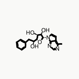 Cc1ncnc2c1ccn2[C@@H]1O[C@H]([C@@H](O)Cc2ccccc2)[C@@H](O)[C@H]1O